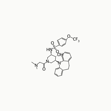 CN(C)CC(=O)N1C[C@@H](NS(=O)(=O)c2ccc(OC(F)(F)F)cc2)[C@H](O)[C@@H](N2c3ccccc3CCc3ccccc32)C1